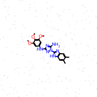 COc1cc(Nc2nc(N)n(-c3nc4cc(C)c(C)cc4[nH]3)n2)cc(OC)c1OC